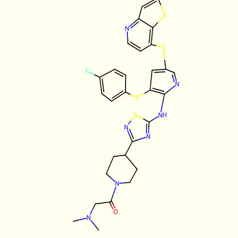 CN(C)CC(=O)N1CCC(c2nsc(Nc3ncc(Sc4ccnc5ccsc45)cc3Sc3ccc(F)cc3)n2)CC1